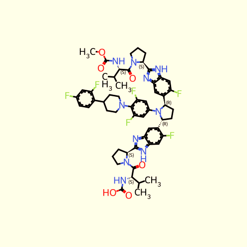 COC(=O)N[C@H](C(=O)N1CCC[C@H]1c1nc2cc([C@H]3CC[C@H](c4cc5nc([C@@H]6CCCN6C(=O)[C@@H](NC(=O)O)C(C)C)[nH]c5cc4F)N3c3cc(F)c(N4CCC(c5ccc(F)cc5F)CC4)c(F)c3)c(F)cc2[nH]1)C(C)C